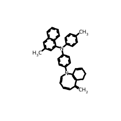 C=C1/C=C\C=C/N(c2ccc(N(c3ccc(C)cc3)c3cc(C)cc4ccccc34)cc2)C2=C1CCC=C2